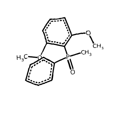 COc1cccc(OC)c1P(C)(=O)c1ccccc1